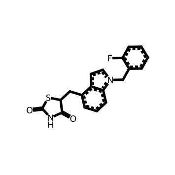 O=C1NC(=O)C(Cc2cccc3c2ccn3Cc2ccccc2F)S1